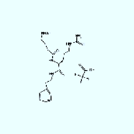 CC(=O)NCCCC(=O)N[C@@H](CCCNC(=N)N)C(=O)NCCc1ccccc1.O=C(O)C(F)(F)F